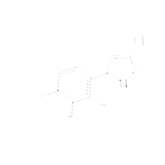 Fc1ccc(-c2cc(Cl)on2)c(F)c1F